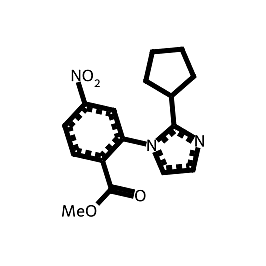 COC(=O)c1ccc([N+](=O)[O-])cc1-n1ccnc1C1CCCC1